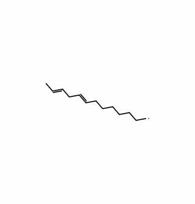 [CH2]CCCCCCC=CCC=CC